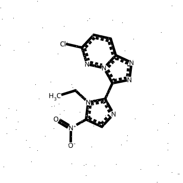 CCn1c([N+](=O)[O-])cnc1-c1nnc2ccc(Cl)nn12